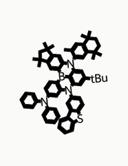 Cc1cc2c(cc1N1c3cc4c(cc3B3c5ccc(N(c6ccccc6)c6ccccc6)cc5N(c5ccc6sc7ccccc7c6c5)c5cc(C(C)(C)C)cc1c53)C(C)(C)CC4(C)C)C(C)(C)CCC2(C)C